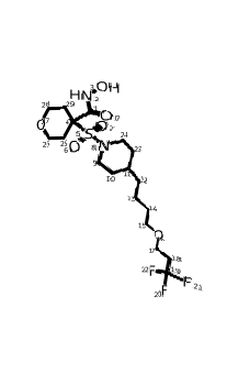 O=C(NO)C1(S(=O)(=O)N2CCC(CCCCOCCC(F)(F)F)CC2)CCOCC1